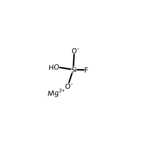 [Mg+2].[O-][Si]([O-])(O)F